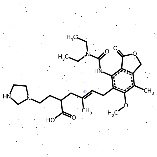 CCN(CC)C(=O)Nc1c(C/C=C(\C)CC(CCN2CCNC2)C(=O)O)c(OC)c(C)c2c1C(=O)OC2